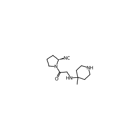 [C-]#[N+][C@@H]1CCCN1C(=O)CNC1(C)CCNCC1